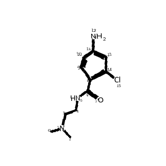 CN(C)CCNC(=O)c1ccc(N)cc1Cl